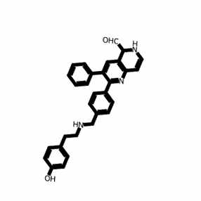 O=CC1NC=Cc2nc(-c3ccc(CNCCc4ccc(O)cc4)cc3)c(-c3ccccc3)cc21